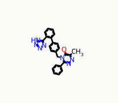 Cc1nnc(-c2ccccc2)n(Cc2ccc(-c3ccccc3-c3nnn[nH]3)cc2)c1=O